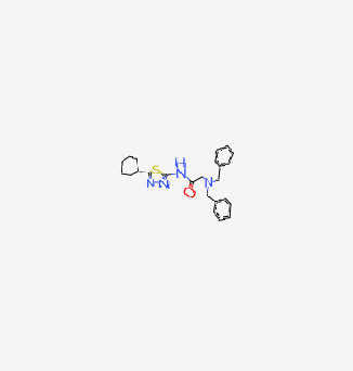 O=C(CN(Cc1ccccc1)Cc1ccccc1)Nc1nnc(C2CCCCC2)s1